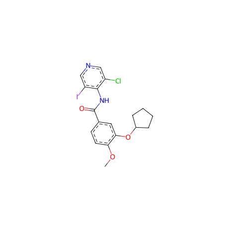 COc1ccc(C(=O)Nc2c(Cl)cncc2I)cc1OC1CCCC1